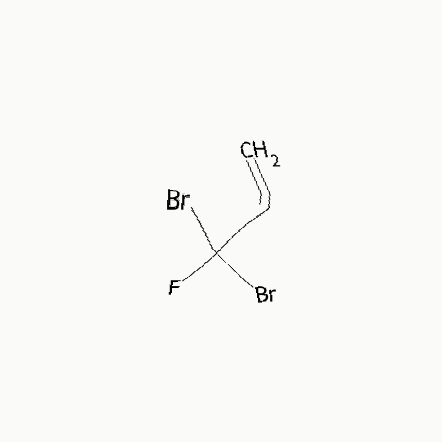 C=CC(F)(Br)Br